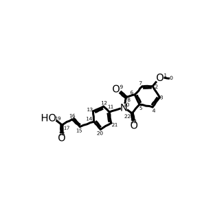 COc1ccc2c(c1)C(=O)N(c1ccc(C=CC(=O)O)cc1)C2=O